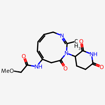 COCC(=O)N/C1=C/C=C\C/N=C(/C)N(C2CCC(=O)NC2=O)C(=O)C1